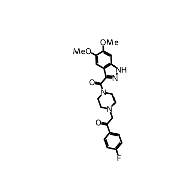 COc1cc2[nH]nc(C(=O)N3CCN(CC(=O)c4ccc(F)cc4)CC3)c2cc1OC